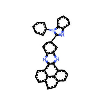 c1ccc(-n2c(-c3ccc4nc5c6cccc7ccc8cccc(c5nc4c3)c8c76)nc3ccccc32)cc1